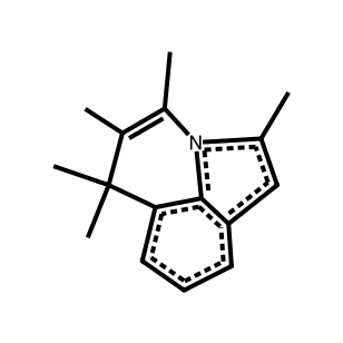 CC1=C(C)C(C)(C)c2cccc3cc(C)n1c23